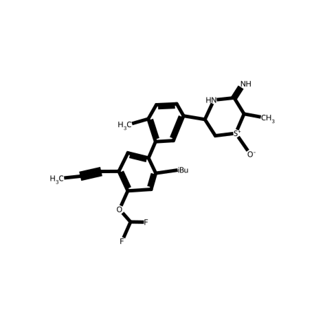 CC#Cc1cc(-c2cc(C3C[S+]([O-])C(C)C(=N)N3)ccc2C)c(C(C)CC)cc1OC(F)F